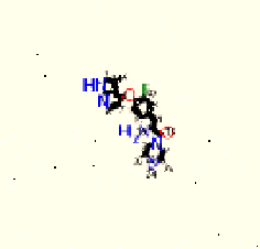 Cc1c[nH]c2nccc(Oc3ccc(C[C@H](N)C(=O)N4C[C@@H](C)N(C)[C@@H](C)C4)cc3F)c12